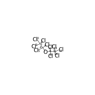 ClC(Cl)(Cl)C(Cl)(Cl)OC(Cl)(Cl)C(Cl)(Cl)Cl